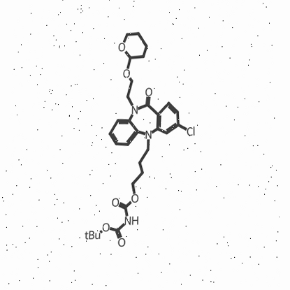 CC(C)(C)OC(=O)NC(=O)OCCCCN1c2cc(Cl)ccc2C(=O)N(CCOC2CCCCO2)c2ccccc21